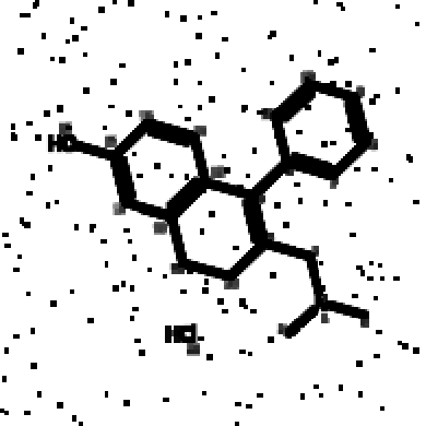 CN(C)CC1=C(c2ccccc2)c2ccc(O)cc2CC1.Cl